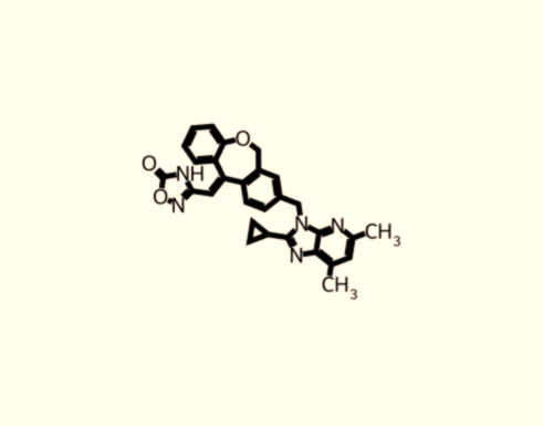 Cc1cc(C)c2nc(C3CC3)n(Cc3ccc4c(c3)COc3ccccc3/C4=C\c3noc(=O)[nH]3)c2n1